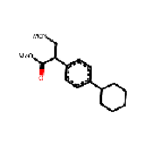 CNCC(C(=O)OC)c1ccc(C2CCCCC2)cc1